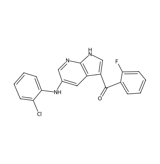 O=C(c1ccccc1F)c1c[nH]c2ncc(Nc3ccccc3Cl)cc12